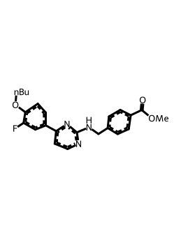 CCCCOc1ccc(-c2ccnc(NCc3ccc(C(=O)OC)cc3)n2)cc1F